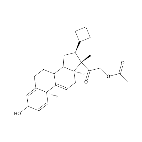 CC(=O)OCC(=O)[C@@]1(C)[C@H](C2CCC2)CC2C3CCC4=CC(O)C=C[C@]4(C)C3=CC[C@@]21C